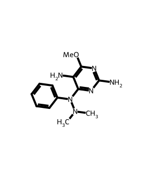 COc1nc(N)nc(N(c2ccccc2)N(C)C)c1N